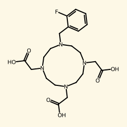 O=C(O)CN1CCN(CC(=O)O)CCN(Cc2ccccc2F)CCN(CC(=O)O)CC1